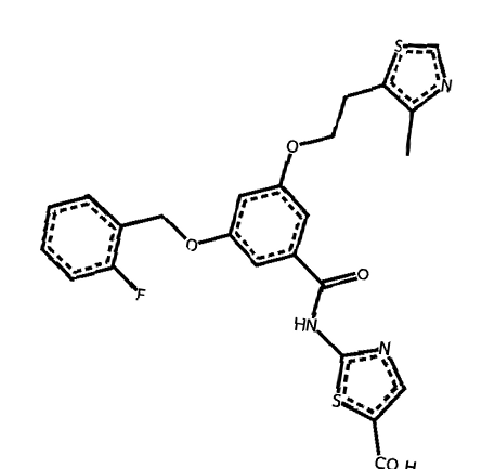 Cc1ncsc1CCOc1cc(OCc2ccccc2F)cc(C(=O)Nc2ncc(C(=O)O)s2)c1